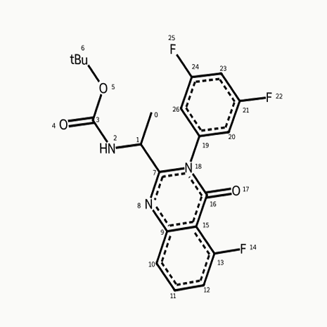 CC(NC(=O)OC(C)(C)C)c1nc2cccc(F)c2c(=O)n1-c1cc(F)cc(F)c1